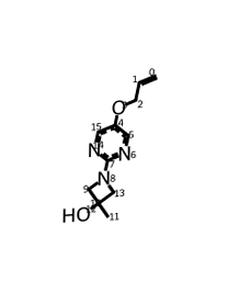 C=CCOc1cnc(N2CC(C)(O)C2)nc1